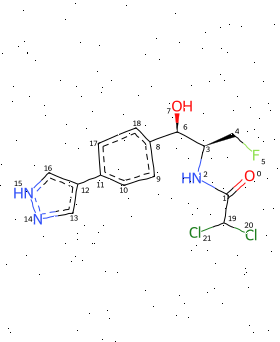 O=C(N[C@H](CF)[C@H](O)c1ccc(-c2cn[nH]c2)cc1)C(Cl)Cl